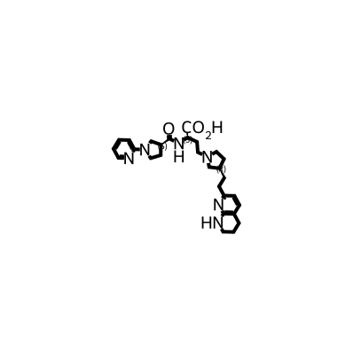 O=C(N[C@@H](CCN1CC[C@@H](CCc2ccc3c(n2)NCCC3)C1)C(=O)O)[C@H]1CCN(c2ccccn2)C1